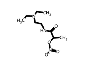 CCN(CC)CCNC(=O)C(C)O[N+](=O)[O-]